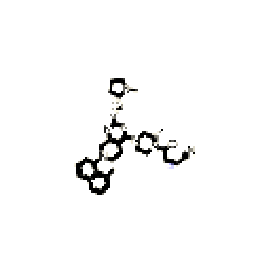 Cc1cccc2cccc(N3CCc4c(nc(OC[C@@H]5CCCN5C)nc4N4CCN(C(=O)/C=C\C#N)[C@@H](C)C4)C3)c12